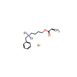 C=CC(=O)OCCCC[N+](CC)(CC)Cc1ccccc1.[Br-]